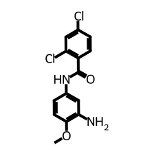 COc1ccc(NC(=O)c2ccc(Cl)cc2Cl)cc1N